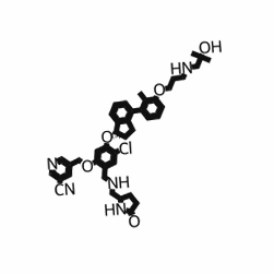 Cc1c(OCCCNCC(C)(C)O)cccc1-c1cccc2c1CC[C@@H]2Oc1cc(OCc2cncc(C#N)c2)c(CNCC2CCC(=O)N2)cc1Cl